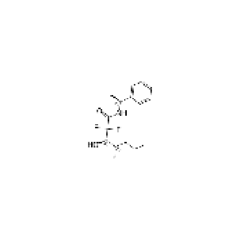 CCC[C@H](C)[C@@H](O)C(F)(F)C(=O)N[C@@H](C)c1ccccc1